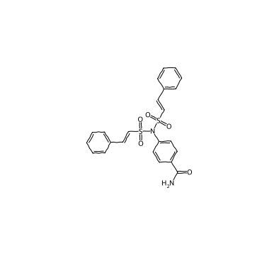 NC(=O)c1ccc(N(S(=O)(=O)/C=C/c2ccccc2)S(=O)(=O)/C=C/c2ccccc2)cc1